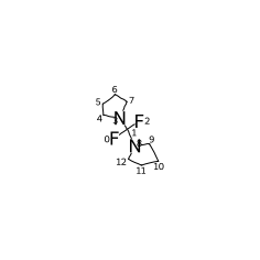 FC(F)(N1CCCC1)N1CCCC1